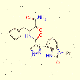 CC(C)n1c(=O)[nH]c2c(-c3nn(C)cc3C(=O)NC(Cc3ccccc3)C(=O)C(N)=O)cccc21